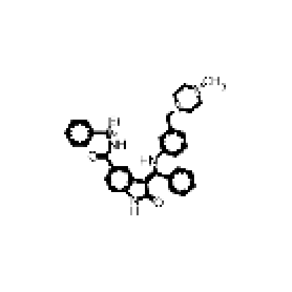 CC[C@@H](NC(=O)c1ccc2c(c1)C(=C(Nc1cccc(CN3CCN(C)CC3)c1)c1ccccc1)C(=O)N2)c1ccccc1